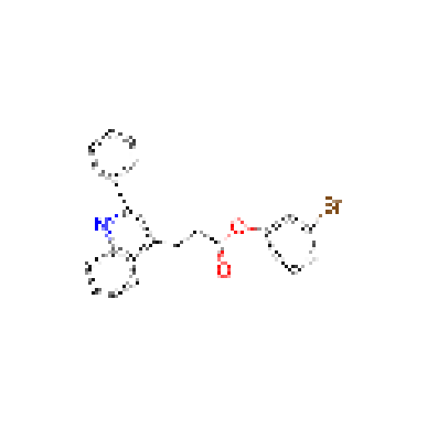 O=C(CCc1cc(-c2ccccc2)nc2ccccc12)Oc1cccc(Br)c1